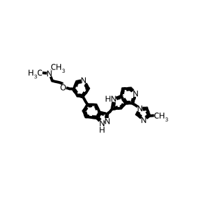 Cc1cn(-c2nccc3[nH]c(-c4n[nH]c5ccc(-c6cncc(OCCN(C)C)c6)cc45)cc23)cn1